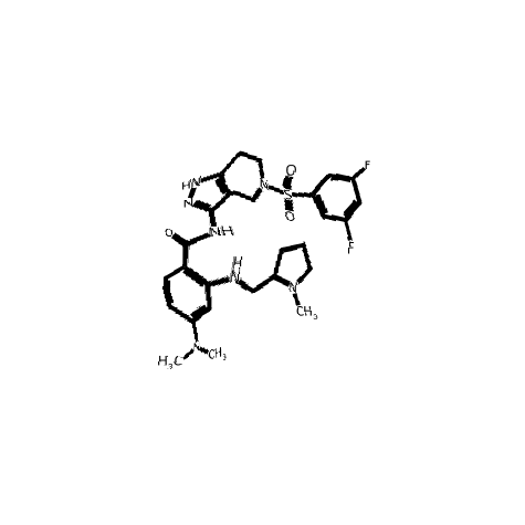 CN(C)c1ccc(C(=O)Nc2n[nH]c3c2CN(S(=O)(=O)c2cc(F)cc(F)c2)CC3)c(NCC2CCCN2C)c1